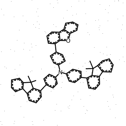 CC1(C)c2ccccc2-c2cccc(-c3ccc(N(c4ccc(-c5cccc6c5C(C)(C)c5ccccc5-6)cc4)c4ccc(-c5cccc6c5oc5ccccc56)cc4)cc3)c21